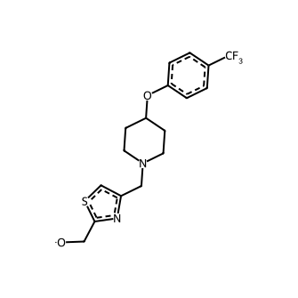 [O]Cc1nc(CN2CCC(Oc3ccc(C(F)(F)F)cc3)CC2)cs1